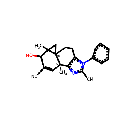 CC12C[C@]13CCc1c(nc(C#N)n1-c1ccccc1)[C@@]3(C)C=C(C#N)C2O